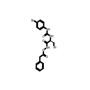 CC(C)C[C@H](NC(=O)Nc1ccc(Br)cc1)C(=O)NOC(=O)Cc1ccccc1